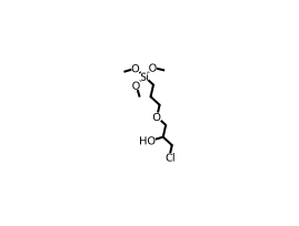 CO[Si](CCCOCC(O)CCl)(OC)OC